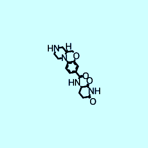 O=C1CC[C@H](NC(=O)c2ccc3c(c2)OC[C@H]2CNCCN32)C(=O)N1